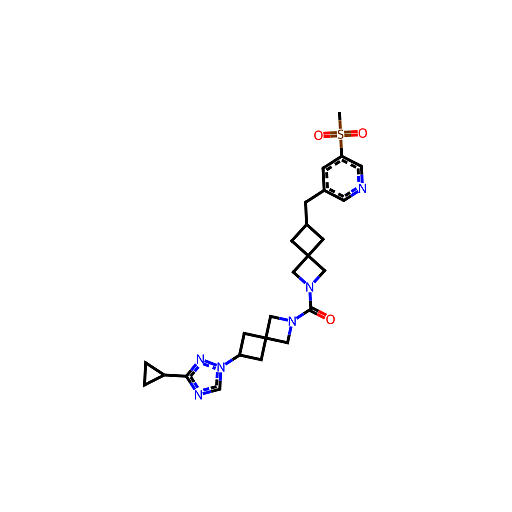 CS(=O)(=O)c1cncc(CC2CC3(C2)CN(C(=O)N2CC4(CC(n5cnc(C6CC6)n5)C4)C2)C3)c1